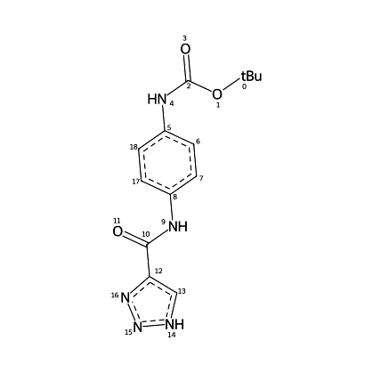 CC(C)(C)OC(=O)Nc1ccc(NC(=O)c2c[nH]nn2)cc1